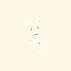 CC1(Oc2cc(N)c(N)cc2Br)COC1